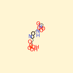 O=C(COP(=O)(O)O)Cc1cnc2ccc(CNC(=O)ON3C(=O)CCC3=O)cc2c1